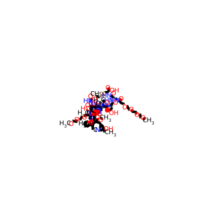 CC[C@]1(O)CC2CN(CCc3c([nH]c4ccccc34)[C@@](C(=O)OC)(c3cc4c(cc3OC)N(C)[C@H]3[C@@](O)(C(=O)NNC(OC)OCCSSCC(NC(=O)[C@H](CNC(=O)CCOCCOCCOCCOC)NC(=O)[C@H](CC(=O)O)NC(=O)[C@H](CNC(=O)CCOCCOCCOCCOC)NC(C)=O)C(=O)O)[C@H](O)[C@]5(CC)C=CCN6CC[C@]43[C@@H]65)C2)C1